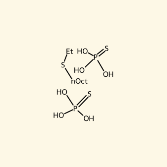 CCCCCCCCSCC.OP(O)(O)=S.OP(O)(O)=S